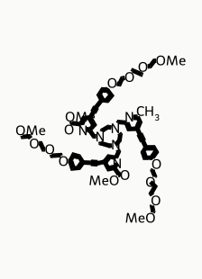 COCCOCCOCCOc1ccc(C#Cc2cc(C)nc(CN3CCN(Cc4cc(C#Cc5ccc(OCCOCCOCCOC)cc5)cc(C(=O)OC)n4)CCN(Cc4cc(C#Cc5ccc(OCCOCCOCCOC)cc5)cc(C(=O)OC)n4)CC3)c2)cc1